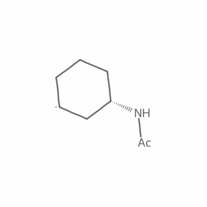 CC(=O)N[C@@H]1C[CH]CCC1